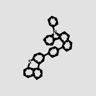 c1ccc(-n2c3ccccc3c3c4c(-c5ccc(-c6ccc7c(c6)-c6cccc8cccc(c68)S7)cc5)cccc4ccc32)cc1